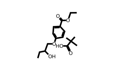 CC(C)(C)C(=O)O.CCOC(=O)c1ccc(OCC(O)CC)cc1